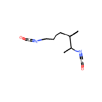 CC(CCCN=C=O)C(C)N=C=O